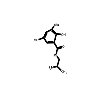 CC(N)CNC(=O)c1cc(C(C)(C)C)cc(C(C)(C)C)c1O